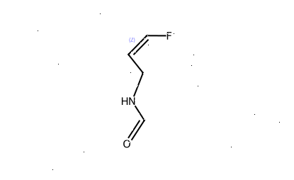 O=CNC/C=C\F